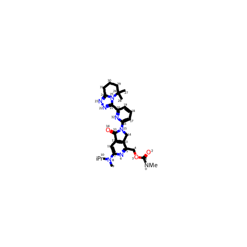 CNC(=O)OCc1nc(N(C)C(C)C)cc2c1CN(c1cccc(-c3nnc4n3C(C)(C)CCC4)n1)C2=O